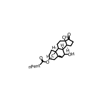 CCCCCC(=O)O[C@H]1CC[C@@]2(C)C(=CC(O)[C@@H]3[C@@H]2CC[C@]2(C)C(=O)CC[C@@H]32)C1